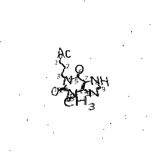 CC(=O)CCCn1c(=O)c2[nH]cnc2n(C)c1=O